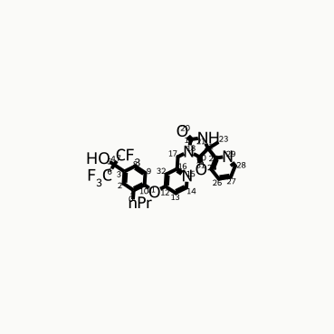 CCCc1cc(C(O)(C(F)(F)F)C(F)(F)F)ccc1Oc1ccnc(CN2C(=O)NC(C)(c3ccccn3)C2=O)c1